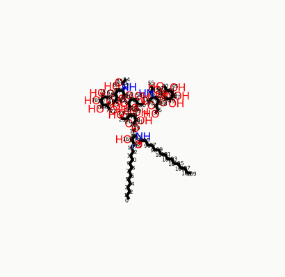 CCCCCCCCCCCCC/C=C/[C@@H](O)[C@H](CO[C@@H]1OC(CO)[C@@H](O[C@@H]2OC(CO[C@@H]3OC(CO)[C@@H](O[C@@H]4OC(CO)[C@H](O)[C@H](O)C4O)[C@H](O)C3NC(C)=O)[C@H](O)[C@H](O[C@@H]3OC(CO)[C@@H](O[C@@H]4OC(CO)[C@H](O)[C@H](O)C4O)[C@H](O)C3NC(C)=O)C2O)[C@H](O)C1O)NC(=O)CCCCCCCCCCCCCCC